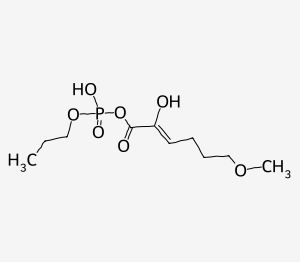 CCCOP(=O)(O)OC(=O)C(O)=CCCCOC